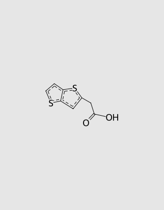 O=C(O)Cc1cc2sccc2s1